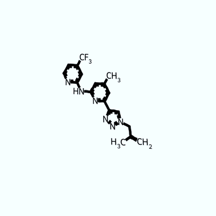 C=C(C)Cn1cc(-c2cc(C)cc(Nc3cc(C(F)(F)F)ccn3)n2)nn1